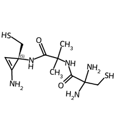 CC(C)(NC(=O)C(N)(N)CS)C(=O)N[C@@]1(CS)C=C1N